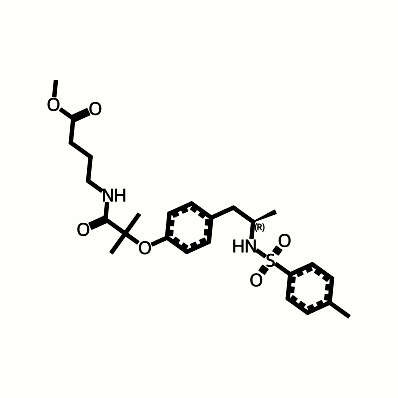 COC(=O)CCCNC(=O)C(C)(C)Oc1ccc(C[C@@H](C)NS(=O)(=O)c2ccc(C)cc2)cc1